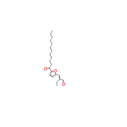 CCCCCCCCCCCC(=O)c1ccc(/C=C(/C=O)CC)o1